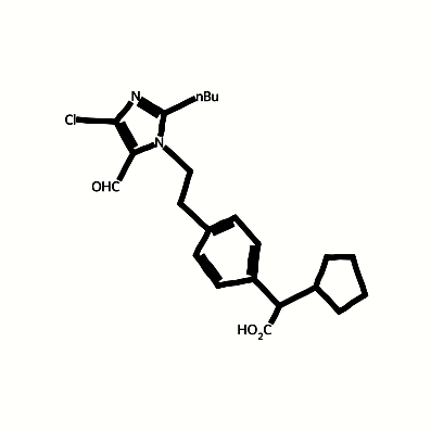 CCCCc1nc(Cl)c(C=O)n1CCc1ccc(C(C(=O)O)C2CCCC2)cc1